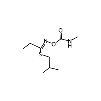 CCC(=NOC(=O)NC)SCC(C)C